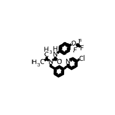 CC(C)N(Cc1cccc(-c2ccc(Cl)cn2)c1)C(=O)Nc1ccc(OC(F)(F)F)cc1